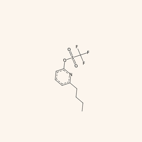 CCCCc1cccc(OS(=O)(=O)C(F)(F)F)n1